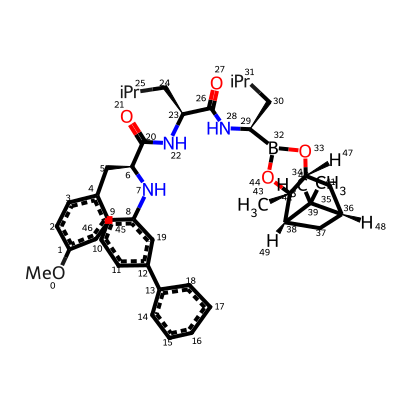 COc1ccc(C[C@H](Nc2cccc(-c3ccccc3)c2)C(=O)N[C@@H](CC(C)C)C(=O)N[C@@H](CC(C)C)B2O[C@@H]3C[C@@H]4C[C@@H](C4(C)C)[C@]3(C)O2)cc1